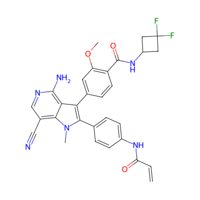 C=CC(=O)Nc1ccc(-c2c(-c3ccc(C(=O)NC4CC(F)(F)C4)c(OC)c3)c3c(N)ncc(C#N)c3n2C)cc1